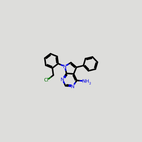 Nc1ncnc2c1c(-c1ccccc1)cn2-c1ccccc1CCl